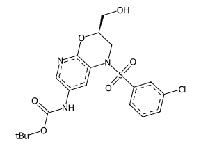 CC(C)(C)OC(=O)Nc1cnc2c(c1)N(S(=O)(=O)c1cccc(Cl)c1)C[C@H](CO)O2